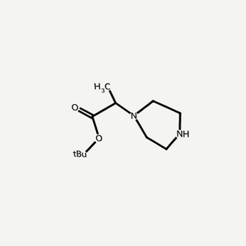 CC(C(=O)OC(C)(C)C)N1CCNCC1